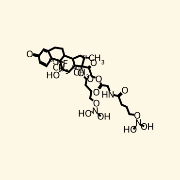 C[C@@H]1CC2C3CCC4=CC(=O)C=C[C@]4(C)[C@@]3(F)[C@@H](O)C[C@]2(C)[C@@]1(OC(=O)CCCON(O)O)C(=O)COC(=O)CNC(=O)CCCON(O)O